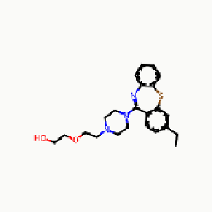 CCc1ccc2c(c1)Sc1ccccc1N=C2N1CCN(CCOCCO)CC1